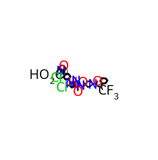 O=C(CC(c1ccccc1)C(F)(F)F)N1CCC(O)(Cn2cnc3c(cc(Cl)n3-c3ccc([C@@H]4COCCN4C(=O)O)c(Cl)c3)c2=O)CC1